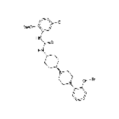 COc1ccc(Cl)cc1NC(=O)N[C@H]1CC[C@H](N2CCN(c3ccccc3OC(C)C)CC2)CC1